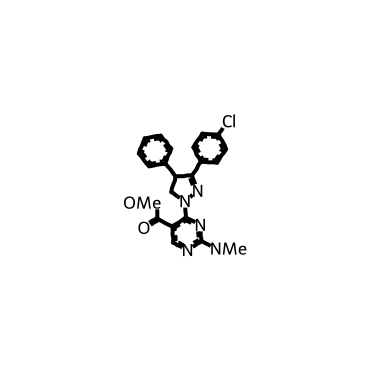 CNc1ncc(C(=O)OC)c(N2CC(c3ccccc3)C(c3ccc(Cl)cc3)=N2)n1